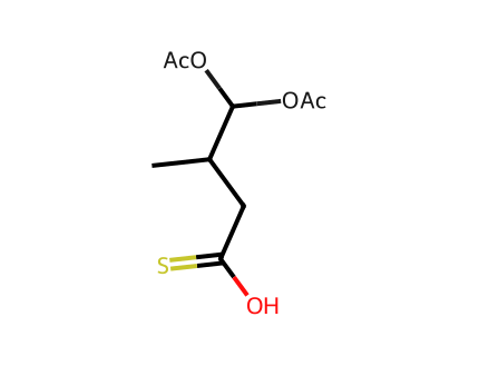 CC(=O)OC(OC(C)=O)C(C)CC(O)=S